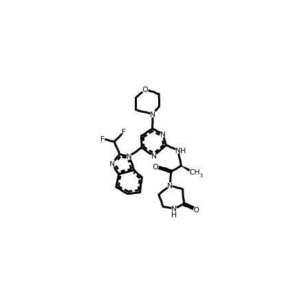 C[C@H](Nc1nc(N2CCOCC2)cc(-n2c(C(F)F)nc3ccccc32)n1)C(=O)N1CCNC(=O)C1